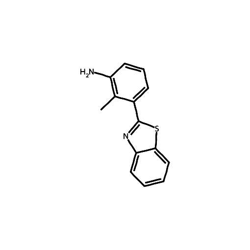 Cc1c(N)cccc1-c1nc2ccccc2s1